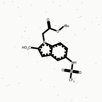 CC(C)(C)OC(=O)Cn1c(C(=O)O)cc2cc(NS(=O)(=O)C(F)(F)F)ccc21